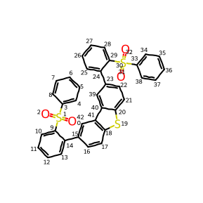 O=S(=O)(c1ccccc1)c1ccccc1-c1ccc2sc3ccc(-c4ccccc4S(=O)(=O)c4ccccc4)cc3c2c1